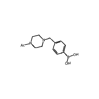 CC(=O)N1CCN(Cc2ccc(B(O)O)cc2)CC1